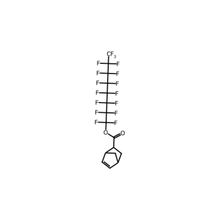 O=C(OC(F)(F)C(F)(F)C(F)(F)C(F)(F)C(F)(F)C(F)(F)C(F)(F)C(F)(F)F)C1CC2C=CC1C2